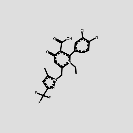 CCn1c(Cn2nc(C(F)(F)F)cc2C)cc(=O)c(C(=O)O)c1-c1ccc(Cl)c(Cl)c1